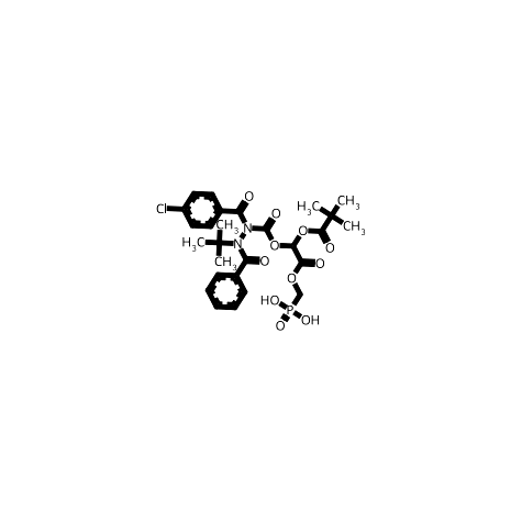 CC(C)(C)C(=O)OC(OC(=O)N(C(=O)c1ccc(Cl)cc1)N(C(=O)c1ccccc1)C(C)(C)C)C(=O)OCP(=O)(O)O